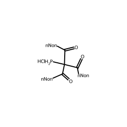 CCCCCCCCCC(=O)C(P)(C(=O)CCCCCCCCC)C(=O)CCCCCCCCC.Cl